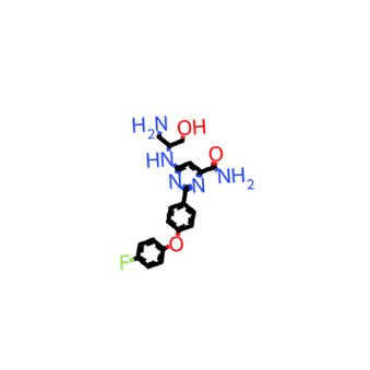 NCC(CO)Nc1cc(C(N)=O)nc(-c2ccc(Oc3ccc(F)cc3)cc2)n1